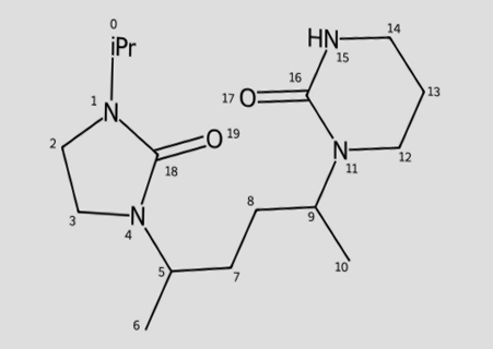 CC(C)N1CCN(C(C)CCC(C)N2CCCNC2=O)C1=O